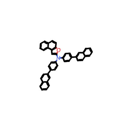 c1ccc2cc(-c3ccc(N(c4ccc(-c5ccc6ccccc6c5)cc4)c4cc5c(ccc6ccccc65)o4)cc3)ccc2c1